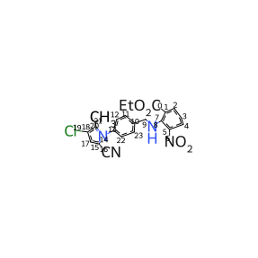 CCOC(=O)c1cccc([N+](=O)[O-])c1NCc1ccc(-n2c(C#N)cc(Cl)c2C)cc1